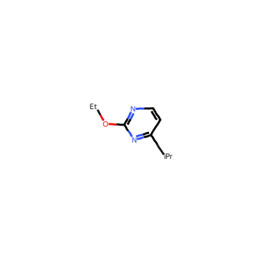 CCOc1nccc(C(C)C)n1